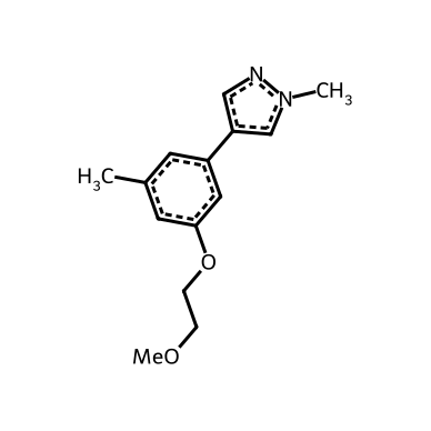 COCCOc1cc(C)cc(-c2cnn(C)c2)c1